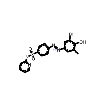 Cc1cc(/N=N/c2ccc(S(=O)(=O)Nc3ccccn3)cc2)cc(Br)c1O